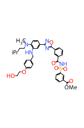 COC(=O)c1cccc(S(=O)(=O)NC(=O)c2cccc(-c3nc(-c4ccc(N(C)CCC(C)C)c(NCc5ccc(OCCO)cc5)c4)no3)c2)c1